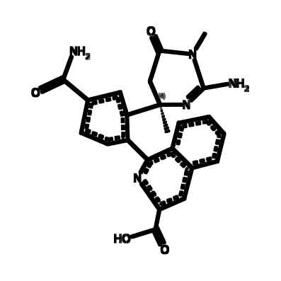 CN1C(=O)C[C@](C)(c2cc(C(N)=O)ccc2-c2nc(C(=O)O)cc3ccccc23)N=C1N